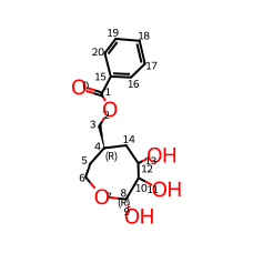 O=C(OC[C@@H]1CCO[C@@H](O)C(O)C(O)C1)c1ccccc1